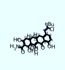 CCCC/C(Cl)=C/c1ccc(O)c2c1C[C@H]1C[C@H]3CC(O)=C(C(N)=O)C(O)[C@@]3(O)C(O)=C1C2=O